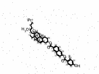 CC(C)CCC[C@@H](C)[C@H]1CC[C@H]2[C@@H]3CC=C4C[C@@H](OC(=O)c5ccc6cc(OC(=O)c7ccc(O)cc7F)ccc6c5)CC[C@]4(C)[C@H]3CC[C@]12C